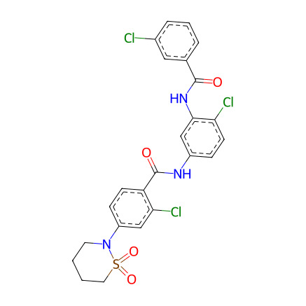 O=C(Nc1cc(NC(=O)c2ccc(N3CCCCS3(=O)=O)cc2Cl)ccc1Cl)c1cccc(Cl)c1